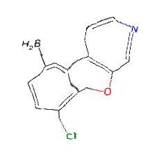 Bc1ccc(Cl)c2oc3cnccc3c12